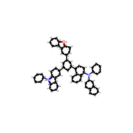 c1ccc(N(c2ccc3ccccc3c2)c2ccc(-c3cc(-c4ccc5oc6ccccc6c5c4)cc(-c4ccc5c(c4)c4ccccc4n5-c4ccccc4)c3)c3ccccc23)cc1